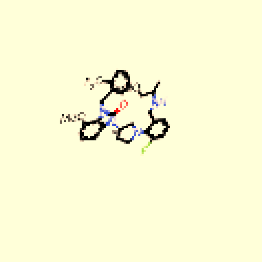 COCC(C)NCc1cccc(F)c1N1CC[C@@H](n2c(=O)n(Cc3ccccc3C(F)(F)F)c3c(OC)cccc32)C1